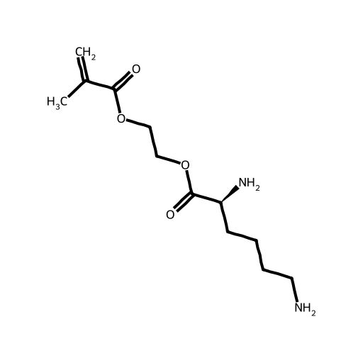 C=C(C)C(=O)OCCOC(=O)[C@@H](N)CCCCN